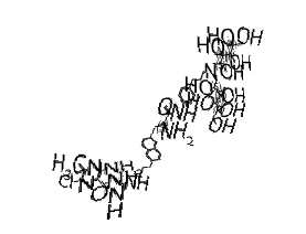 Cc1nc(N)c(C(=O)NC(=N)NCCCCc2ccc3cc(C[C@H](N)C(=O)Nc4ccc(CCCN(C[C@H](O)[C@@H](O)[C@H](O)[C@H](O)CO)C[C@H](O)[C@@H](O)[C@H](O)[C@H](O)CO)cc4)ccc3c2)nc1Cl